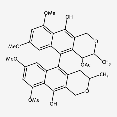 COc1cc(OC)c2c(O)c3c(c(-c4c5c(c(O)c6c(OC)cc(OC)cc46)COC(C)C5OC(C)=O)c2c1)CC(C)OC3